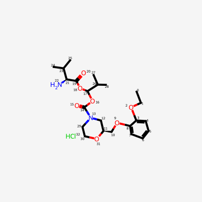 CCOc1ccccc1OC[C@@H]1CN(C(=O)OC(OC(=O)[C@@H](N)C(C)C)C(C)C)CCO1.Cl